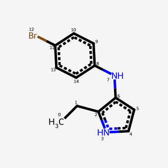 CCc1[nH]ccc1Nc1ccc(Br)cc1